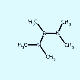 CB(N(C)C)N(C)C